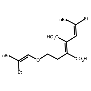 CCCCC(=COCC/C(C(=O)O)=C(/C=C(CC)CCCC)C(=O)O)CC